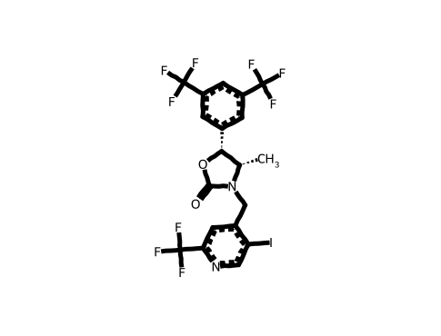 C[C@H]1[C@@H](c2cc(C(F)(F)F)cc(C(F)(F)F)c2)OC(=O)N1Cc1cc(C(F)(F)F)ncc1I